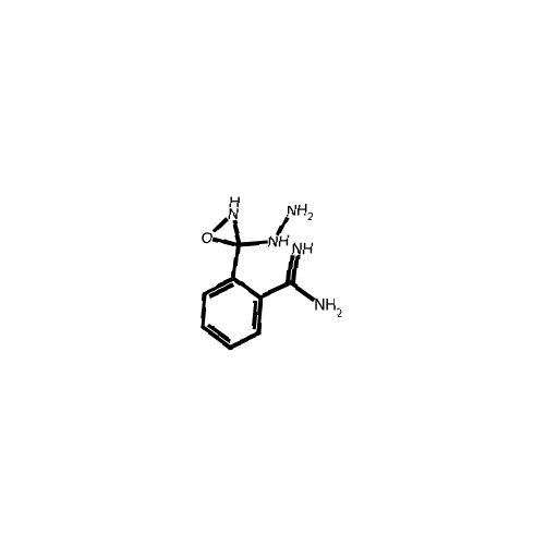 N=C(N)c1ccccc1C1(NN)NO1